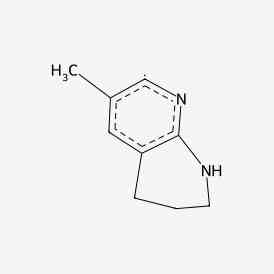 Cc1[c]nc2c(c1)CCCN2